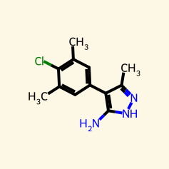 Cc1cc(-c2c(C)n[nH]c2N)cc(C)c1Cl